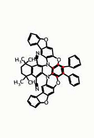 CC1(C)CCC(C)(C)c2c(C#N)c(N3c4ccc(-c5ccccc5)cc4Oc4cc5oc6ccccc6c5cc43)c(N3c4ccc(-c5ccccc5)cc4Oc4cc5oc6ccccc6c5cc43)c(C#N)c21